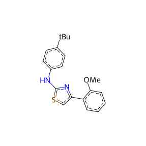 COc1ccccc1-c1csc(Nc2ccc(C(C)(C)C)cc2)n1